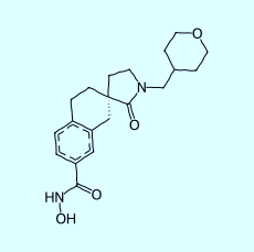 O=C(NO)c1ccc2c(c1)C[C@]1(CC2)CCN(CC2CCOCC2)C1=O